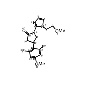 COCCn1ccnc1N1C[C@@H](c2c(F)cc(OC)cc2I)CC1=O